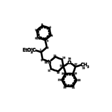 CCOC(=O)C(Cc1ccccn1)CN1CCC2(CC1)OC(C)c1ccccc12